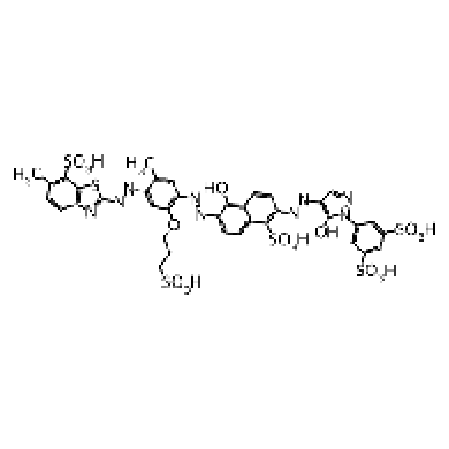 Cc1cc(N=Nc2ccc3c(S(=O)(=O)O)c(N=Nc4cnn(-c5cc(S(=O)(=O)O)cc(S(=O)(=O)O)c5)c4O)ccc3c2O)c(OCCCS(=O)(=O)O)cc1N=Nc1nc2ccc(C)c(S(=O)(=O)O)c2s1